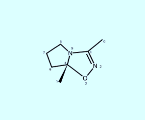 CC1=NO[C@]2(C)CCCN12